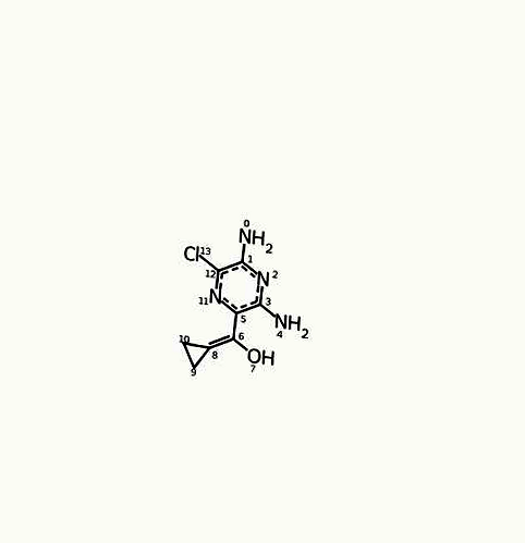 Nc1nc(N)c(C(O)=C2CC2)nc1Cl